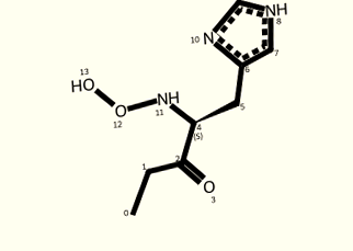 CCC(=O)[C@H](Cc1c[nH]cn1)NOO